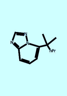 CCCC(C)(C)c1cccc2ncnn12